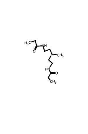 CCC(=O)NCCN(C)CCNC(=O)CC